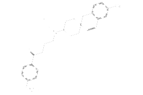 COc1ccc(C(=O)CCCN(C)C2CCC3(C=Cc4cc(Br)ccc4C3)CC2)cc1.Cl